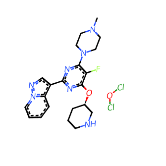 CN1CCN(c2nc(-c3cnn4ccccc34)nc(O[C@@H]3CCCNC3)c2F)CC1.ClOCl